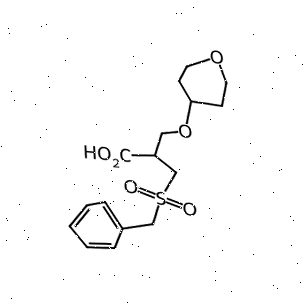 O=C(O)C(COC1CCOCC1)CS(=O)(=O)Cc1ccccc1